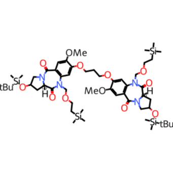 COc1cc2c(cc1OCCCOc1cc3c(cc1OC)C(=O)N1CC(O[Si](C)(C)C(C)(C)C)C[C@H]1C(=O)N3COCC[Si](C)(C)C)N(COCC[Si](C)(C)C)C(=O)[C@@H]1CC(O[Si](C)(C)C(C)(C)C)CN1C2=O